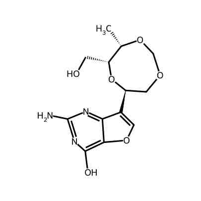 C[C@@H]1OCOC[C@@H](c2coc3c(O)nc(N)nc23)O[C@@H]1CO